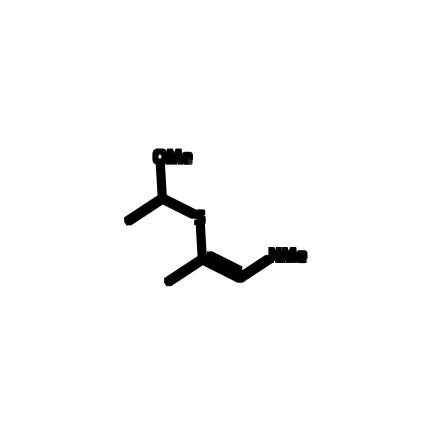 CN/C=C(/C)SC(C)OC